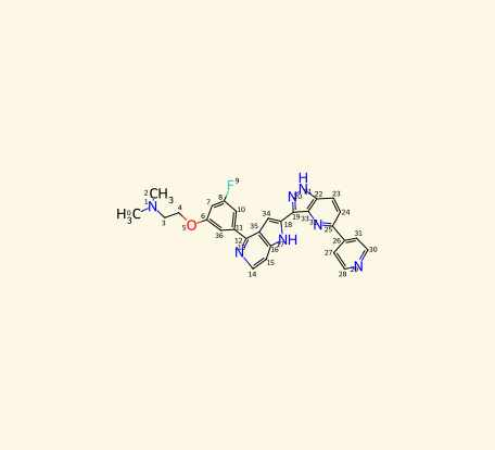 CN(C)CCOc1cc(F)cc(-c2nccc3[nH]c(-c4n[nH]c5ccc(-c6ccncc6)nc45)cc23)c1